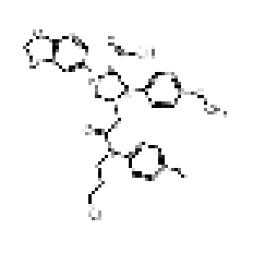 CCCCN(C(=O)CN1C[C@H](c2ccc3c(c2)OCO3)[C@H](C(=O)O)[C@H]1c1ccc(OC)cc1)c1ccc(Cl)cc1